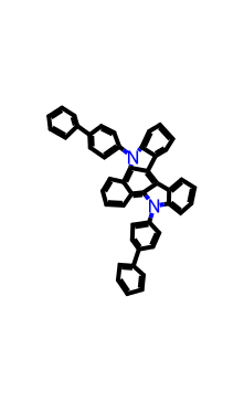 c1ccc(-c2ccc(-n3c4ccccc4c4c5c6ccccc6n(-c6ccc(-c7ccccc7)cc6)c5c5ccccc5c43)cc2)cc1